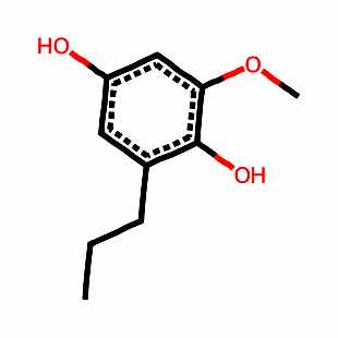 CCCc1cc(O)cc(OC)c1O